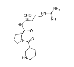 N=C(N)NCCC[C@@H](C=O)NC(=O)[C@@H]1CCCN1C(=O)C1CCCNC1